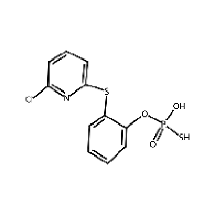 O=P(O)(S)Oc1ccccc1Sc1cccc(Cl)n1